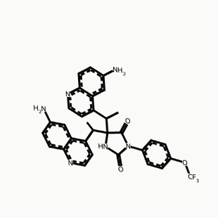 CC(c1ccnc2ccc(N)cc12)C1(C(C)c2ccnc3ccc(N)cc23)NC(=O)N(c2ccc(OC(F)(F)F)cc2)C1=O